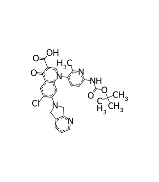 Cc1nc(NC(=O)OC(C)(C)C)ccc1-n1cc(C(=O)O)c(=O)c2cc(Cl)c(N3Cc4cccnc4C3)cc21